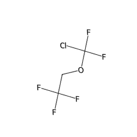 FC(F)(F)COC(F)(F)Cl